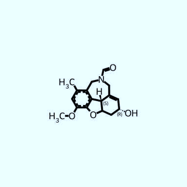 COc1cc(C)c2c3c1OC1C[C@@H](O)C=C(CN(C=O)C2)[C@@H]31